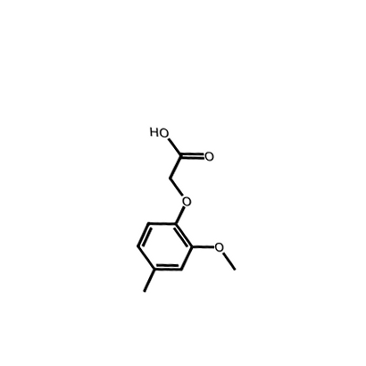 COc1cc(C)ccc1OCC(=O)O